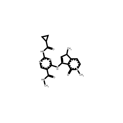 CNC(=O)c1cnc(NC(=O)C2CC2)nc1NC1=CC(C)c2ccn(C)c(=O)c21